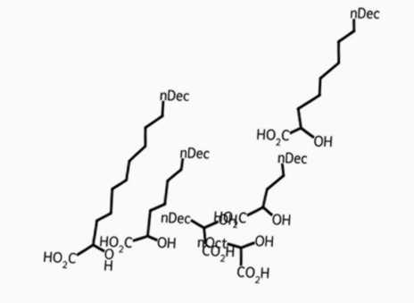 CCCCCCCCC(O)C(=O)O.CCCCCCCCCCC(O)C(=O)O.CCCCCCCCCCCCC(O)C(=O)O.CCCCCCCCCCCCCCC(O)C(=O)O.CCCCCCCCCCCCCCCCC(O)C(=O)O.CCCCCCCCCCCCCCCCCCC(O)C(=O)O